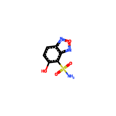 NS(=O)(=O)c1c(O)ccc2nonc12